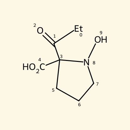 CCC(=O)C1(C(=O)O)CCCN1O